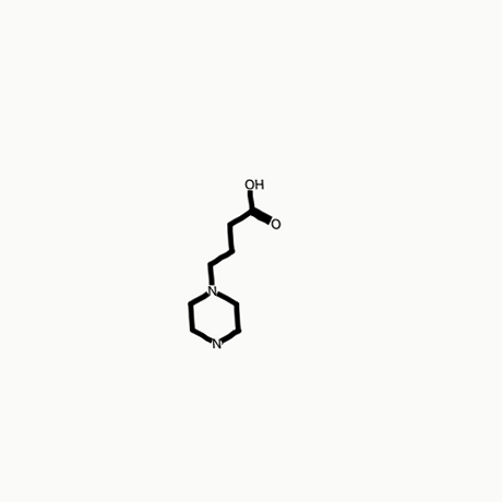 O=C(O)CCCN1CC[N]CC1